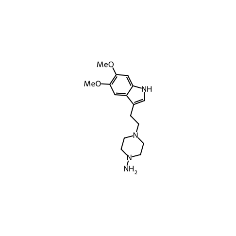 COc1cc2[nH]cc(CCN3CCN(N)CC3)c2cc1OC